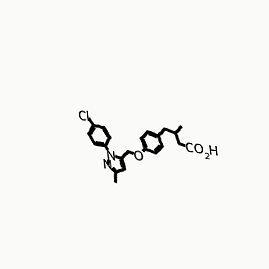 Cc1cc(COc2ccc(CC(C)CC(=O)O)cc2)n(-c2ccc(Cl)cc2)n1